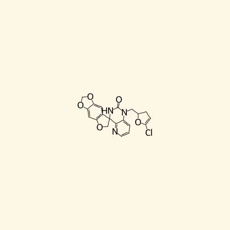 O=C1NC2(COc3cc4c(cc32)OCO4)c2ncccc2N1CC1CC=C(Cl)O1